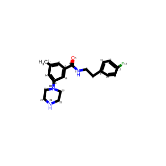 Cc1cc(C(=O)NCCc2ccc(F)cc2)cc(N2CCNCC2)c1